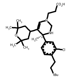 CC(C)(C)CCc1ccc([C@]2(C)NCN(CCC(=O)O)C=C2C2CC(C)(C)OC(C)(C)C2)cc1Cl